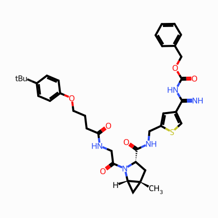 CC(C)(C)c1ccc(OCCCC(=O)NCC(=O)N2[C@H]3C[C@@]3(C)C[C@H]2C(=O)NCc2cc(C(=N)NC(=O)OCc3ccccc3)cs2)cc1